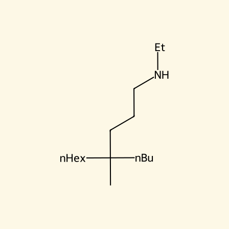 CCCCCCC(C)(CCCC)CCCNCC